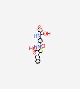 O=C(Nc1scc(C2CCc3ccccc3C2)c1C(=O)O)c1ccc(NC(CO)C2CCOCC2)cc1